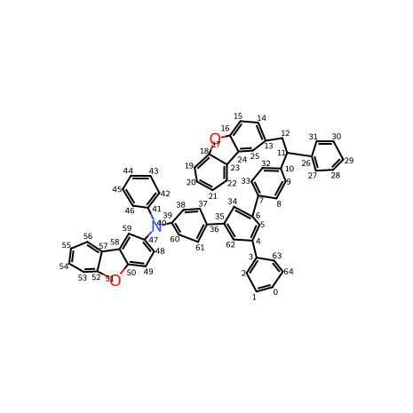 c1ccc(-c2cc(-c3ccc(C(Cc4ccc5oc6ccccc6c5c4)c4ccccc4)cc3)cc(-c3ccc(N(c4ccccc4)c4ccc5oc6ccccc6c5c4)cc3)c2)cc1